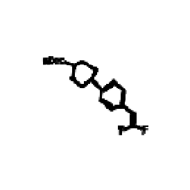 CCCCCCCCCCC1CCC(c2ccc(C=C(F)F)cc2)CC1